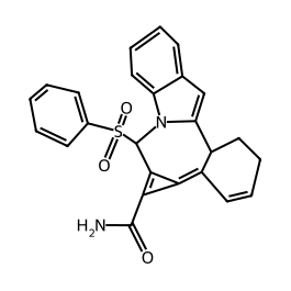 NC(=O)C1=C2C1=C1C=CCCC1c1cc3ccccc3n1C2S(=O)(=O)c1ccccc1